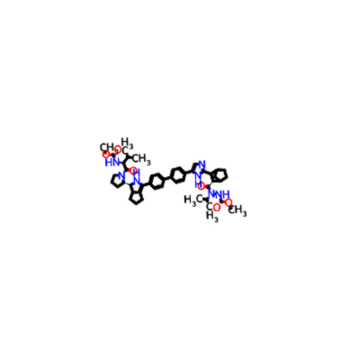 COC(=O)N[C@H](C(=O)N1CCC[C@H]1C1NC(c2ccc(-c3ccc(-c4cnc(C5C6CCC(C6)[C@@H]5C(=O)N(NC(=O)OC)C(C)C)[nH]4)cc3)cc2)=C2CCCC21)C(C)C